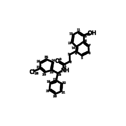 O=C(CCc1cccc2c(O)cccc12)NC(c1ccccc1)c1cccc(Cl)c1